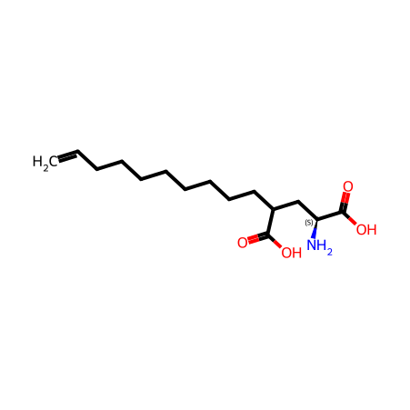 C=CCCCCCCCCC(C[C@H](N)C(=O)O)C(=O)O